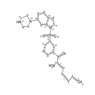 C=C/C=C\C=C(/N)C(=O)c1cccc(S(=O)(=O)n2ccc3ccc(N4CCNCC4)cc32)c1